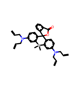 C=CCN(CC=C)c1ccc2c(c1)[Si](C)(C)c1cc(N(CC=C)CC=C)ccc1C21OC(=O)c2ccccc21